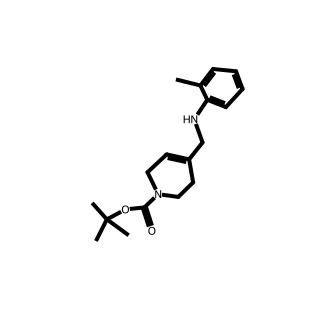 Cc1ccccc1NCC1=CCN(C(=O)OC(C)(C)C)CC1